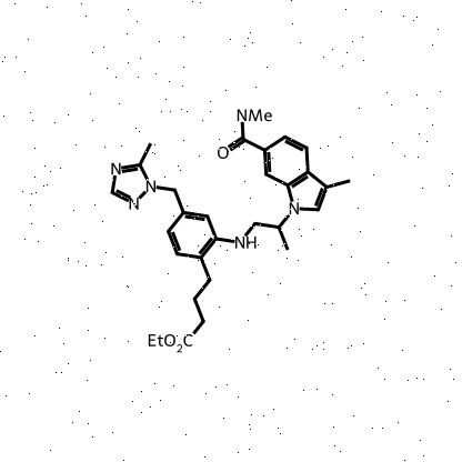 CCOC(=O)CCCc1ccc(Cn2ncnc2C)cc1NCC(C)n1cc(C)c2ccc(C(=O)NC)cc21